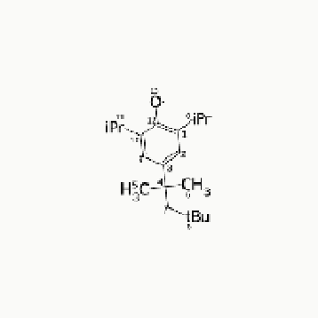 CC(C)c1cc(C(C)(C)CC(C)(C)C)cc(C(C)C)c1[O]